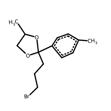 Cc1ccc(C2(CCCBr)OCC(C)O2)cc1